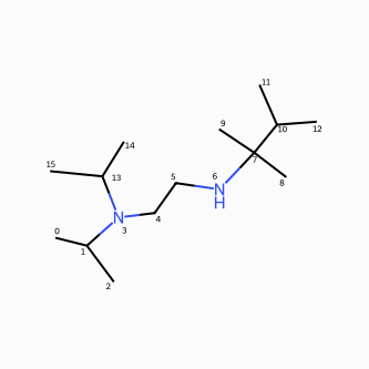 CC(C)N(CCNC(C)(C)C(C)C)C(C)C